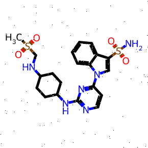 CS(=O)(=O)CNC1CCC(Nc2nccc(-n3cc(S(N)(=O)=O)c4ccccc43)n2)CC1